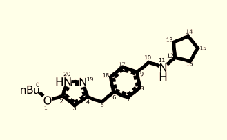 CCCCOc1cc(Cc2ccc(CNC3CCCC3)cc2)n[nH]1